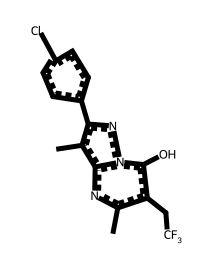 Cc1nc2c(C)c(-c3ccc(Cl)cc3)nn2c(O)c1CC(F)(F)F